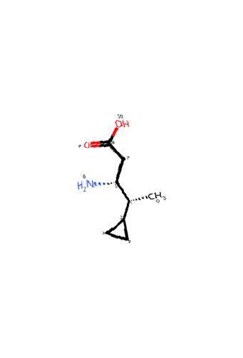 C[C@H](C1CC1)[C@H](N)CC(=O)O